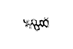 CCS(=O)(=O)NC1COCc2c(-c3ccc4c(c3)COCC4(F)F)cncc21